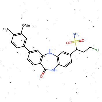 COc1cc(-c2ccc3c(c2)Nc2cc(C(CCCl)S(N)(=O)=O)ccc2NC3=O)ccc1[N+](=O)[O-]